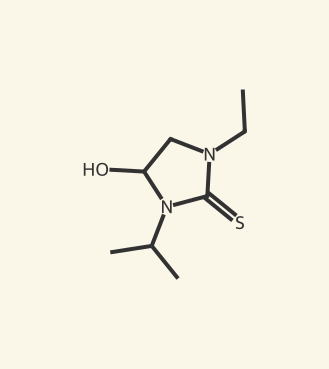 CCN1CC(O)N(C(C)C)C1=S